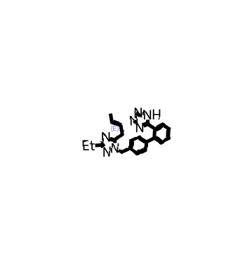 C/C=C/Cc1nc(CC)nn1Cc1ccc(-c2ccccc2-c2nnn[nH]2)cc1